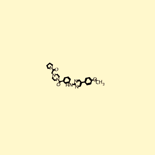 COc1ccc(-c2cnc(Nc3cccc(C(=O)N4CCN(CC(=O)N5CCCC5)CC4)c3)nc2)cc1